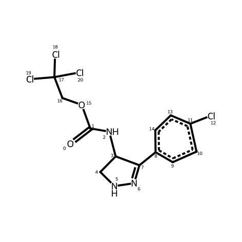 O=C(NC1CNN=C1c1ccc(Cl)cc1)OCC(Cl)(Cl)Cl